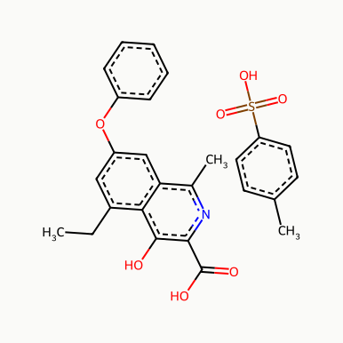 CCc1cc(Oc2ccccc2)cc2c(C)nc(C(=O)O)c(O)c12.Cc1ccc(S(=O)(=O)O)cc1